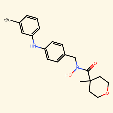 CC1(C(=O)N(O)Cc2ccc(Nc3cccc(C(C)(C)C)c3)cc2)CCOCC1